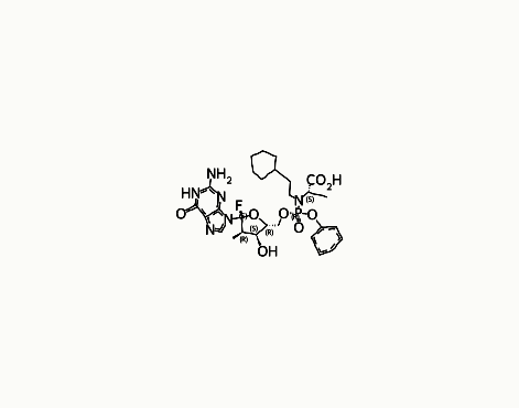 C[C@@H]1[C@H](O)[C@@H](CO[P@@](=O)(Oc2ccccc2)N(CCC2CCCCC2)[C@@H](C)C(=O)O)O[C@@]1(F)n1cnc2c(=O)[nH]c(N)nc21